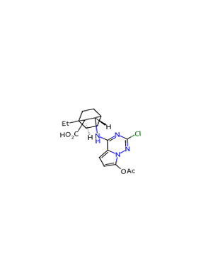 CCC12CCC(CC1)[C@H](Nc1nc(Cl)nn3c(OC(C)=O)ccc13)[C@H]2C(=O)O